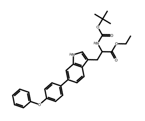 CCOC(=O)C(Cc1c[nH]c2cc(-c3ccc(Oc4ccccc4)cc3)ccc12)NC(=O)OC(C)(C)C